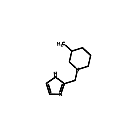 CC1CCCN(Cc2ncc[nH]2)C1